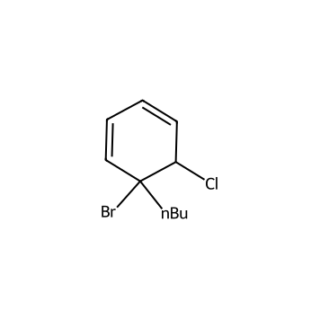 CCCCC1(Br)C=CC=CC1Cl